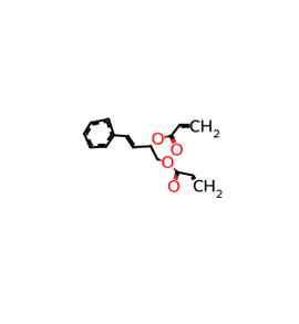 C=CC(=O)OCC(C=Cc1ccccc1)OC(=O)C=C